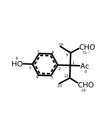 CC(=O)C(c1ccc(O)cc1)(C(C)C=O)C(C)C=O